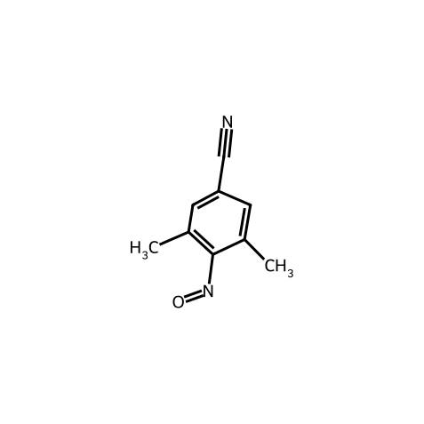 Cc1cc(C#N)cc(C)c1N=O